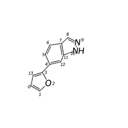 c1coc(-c2ccc3cn[nH]c3c2)c1